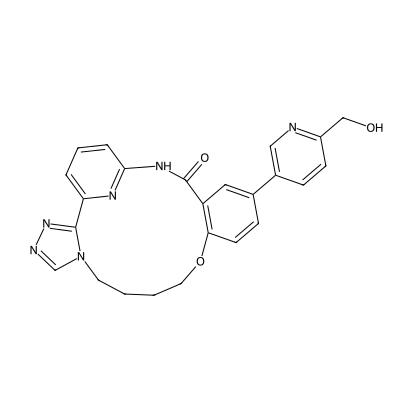 O=C1Nc2cccc(n2)-c2nncn2CCCCOc2ccc(-c3ccc(CO)nc3)cc21